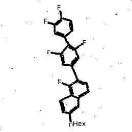 CCCCCCc1ccc2c(F)c(-c3cc(F)c(-c4ccc(F)c(F)c4)c(F)c3)ccc2c1